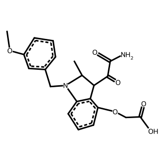 COc1cccc(CN2c3cccc(OCC(=O)O)c3C(C(=O)C(N)=O)C2C)c1